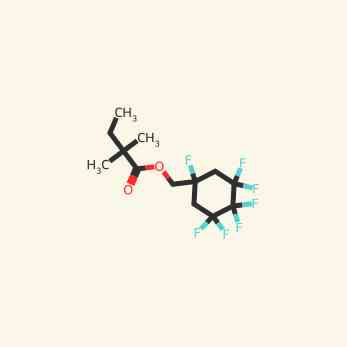 CCC(C)(C)C(=O)OCC1(F)CC(F)(F)C(F)(F)C(F)(F)C1